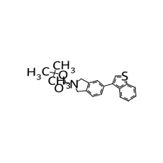 CC(C)(C)OC(=O)N1Cc2ccc(-c3csc4ccccc34)cc2C1